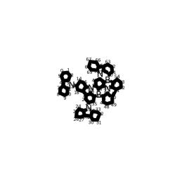 c1ccc2c(c1)c1ccccc1n2-c1ccc2c(c1)c1cc(-n3c4ccccc4c4ccccc43)cc3c1n2-c1cc2c4c5c1B3c1cccc3c6cccc(c6n-5c13)B4c1cccc3c4ccccc4n-2c13